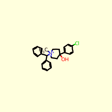 C[N+]1(C(c2ccccc2)c2ccccc2)CCC(O)(c2ccc(Cl)cc2)CC1